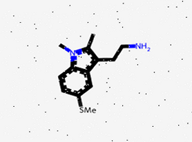 CSc1ccc2c(c1)c(CCN)c(C)n2C